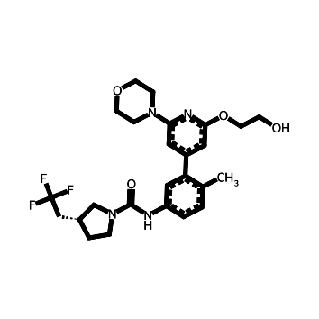 Cc1ccc(NC(=O)N2CC[C@H](CC(F)(F)F)C2)cc1-c1cc(OCCO)nc(N2CCOCC2)c1